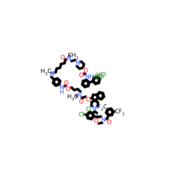 CN(CCCCCC(=O)N(C)CCN1CCC(OC(=O)Nc2ccccc2-c2ccccc2)CC1)Cc1ccc(NC(=O)OCCCCN(C)C(=O)CO[C@H]2Cc3ccccc3C23CCN(CC[C@]2(c4ccc(Cl)c(Cl)c4)CN(C(=O)c4cc(C(F)(F)F)cc(C(F)(F)F)c4)CCO2)CC3)cc1.Cl.Cl.Cl